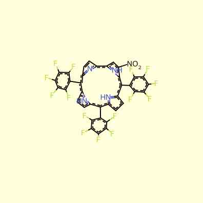 O=[N+]([O-])c1cc2[nH]c1c(-c1c(F)c(F)c(F)c(F)c1F)c1ccc([nH]1)c(-c1c(F)c(F)c(F)c(F)c1F)c1ccc([nH]1)c(-c1c(F)c(F)c(F)c(F)c1F)c1nc2C=C1